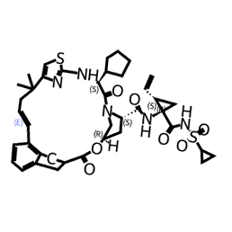 C=C[C@@H]1C[C@]1(NC(=O)[C@@H]1C[C@@H]2CN1C(=O)[C@H](C1CCCC1)Nc1nc(cs1)C(C)(C)C/C=C/c1cccc3c1CC(C3)C(=O)O2)C(=O)NS(=O)(=O)C1CC1